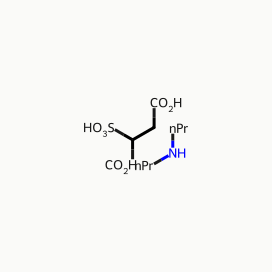 CCCNCCC.O=C(O)CC(C(=O)O)S(=O)(=O)O